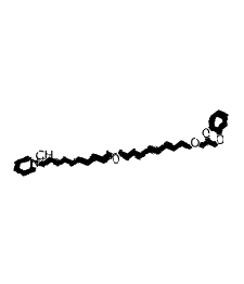 C[N+]1(CCCCCCCCCCOCCCCCCCCCCOCC2COc3ccccc3O2)CCCCC1